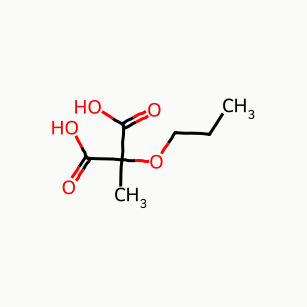 CCCOC(C)(C(=O)O)C(=O)O